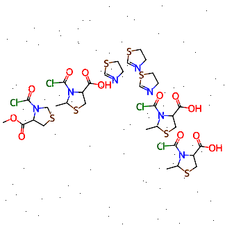 C1=NCCS1.C1=NCCS1.C1=NCCS1.CC1SCC(C(=O)O)N1C(=O)Cl.CC1SCC(C(=O)O)N1C(=O)Cl.CC1SCC(C(=O)O)N1C(=O)Cl.COC(=O)C1CSCN1C(=O)Cl